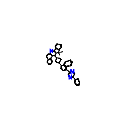 CC1(C)c2ccccc2-c2nc3ccc4ccccc4c3c(-c3ccc(-c4ccc(-c5cnc(-c6ccccc6)cn5)c5ccccc45)cc3)c21